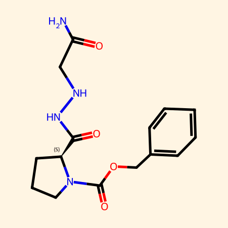 NC(=O)CNNC(=O)[C@@H]1CCCN1C(=O)OCc1ccccc1